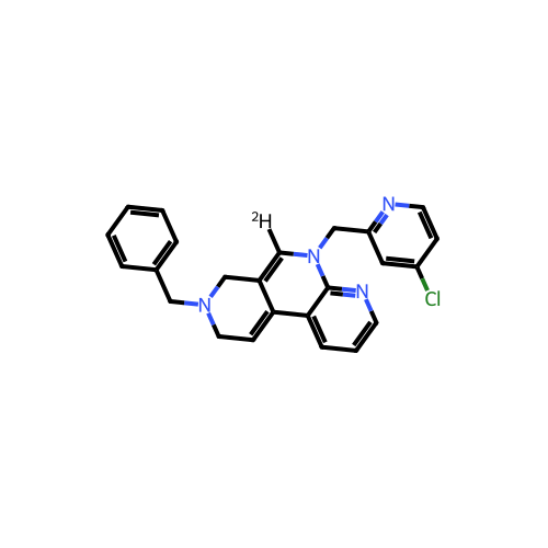 [2H]C1=C2CN(Cc3ccccc3)CC=C2c2cccnc2N1Cc1cc(Cl)ccn1